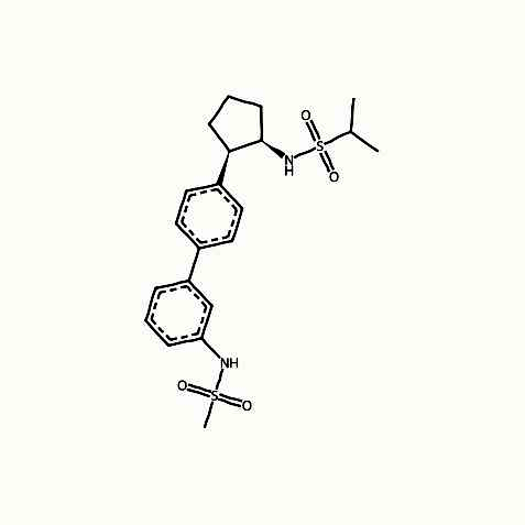 CC(C)S(=O)(=O)N[C@@H]1CCC[C@@H]1c1ccc(-c2cccc(NS(C)(=O)=O)c2)cc1